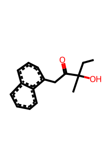 CCC(C)(O)C(=O)Cc1cccc2ccccc12